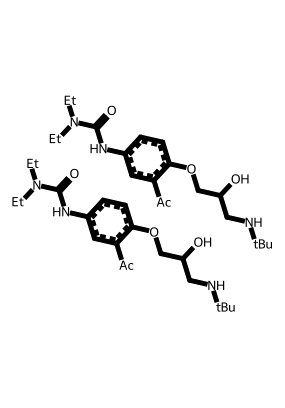 CCN(CC)C(=O)Nc1ccc(OCC(O)CNC(C)(C)C)c(C(C)=O)c1.CCN(CC)C(=O)Nc1ccc(OCC(O)CNC(C)(C)C)c(C(C)=O)c1